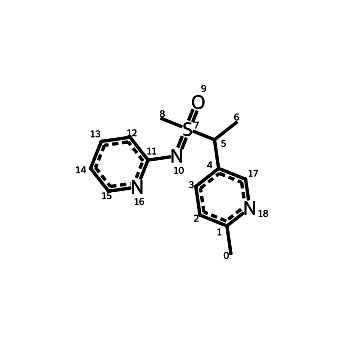 Cc1ccc(C(C)S(C)(=O)=Nc2ccccn2)cn1